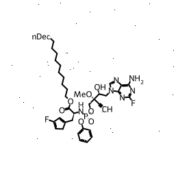 C#C[C@](COP(=O)(N[C@@H](CC1=CC(F)=CC1)C(=O)OCCCCCCCCCCCCCCCCCCCC)Oc1ccccc1)(OC)[C@@H](O)Cn1cnc2c(N)nc(F)nc21